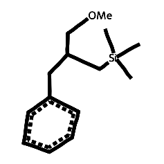 COCC(Cc1ccccc1)C[Si](C)(C)C